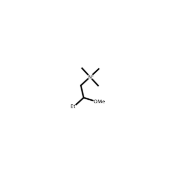 CCC(C[N+](C)(C)C)OC